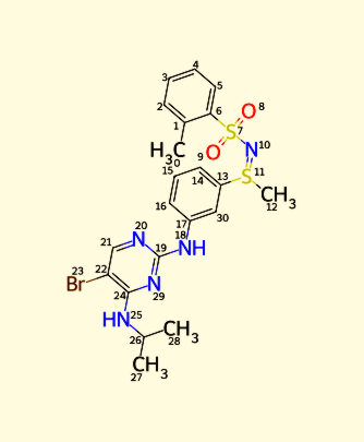 Cc1ccccc1S(=O)(=O)N=S(C)c1cccc(Nc2ncc(Br)c(NC(C)C)n2)c1